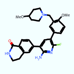 COc1ccc(-c2cc(-c3ccc4c(c3)CCNC4=O)c(N)nc2F)cc1CN1CCC(OC)CC1